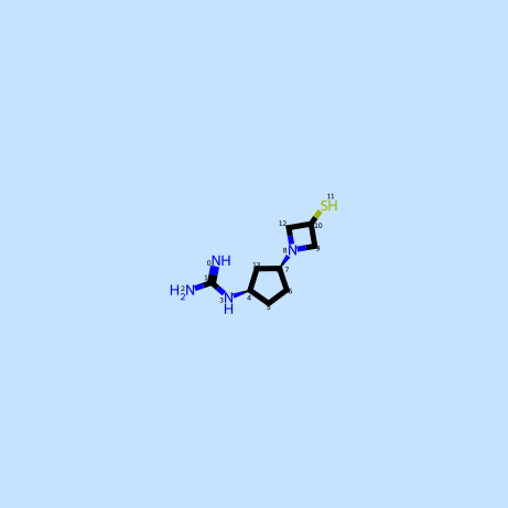 N=C(N)N[C@@H]1CC[C@H](N2CC(S)C2)C1